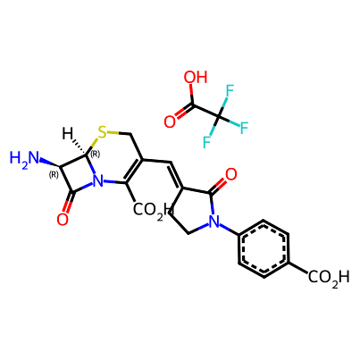 N[C@@H]1C(=O)N2C(C(=O)O)=C(C=C3CCN(c4ccc(C(=O)O)cc4)C3=O)CS[C@H]12.O=C(O)C(F)(F)F